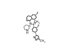 Cc1cc(F)cc2ccnc(N(C(=O)c3ccc(-c4cn(C)nn4)cc3F)[C@H]3CCCNC3)c12